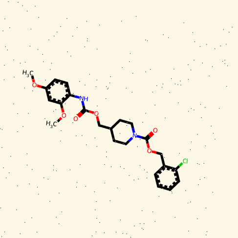 COc1ccc(NC(=O)OCC2CCN(C(=O)OCc3ccccc3Cl)CC2)c(OC)c1